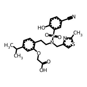 Cc1nc(CN(CCc2ccc(C(C)C)cc2OCC(=O)O)S(=O)(=O)c2cc(C#N)ccc2O)cs1